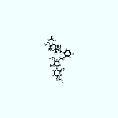 COC(=O)[C@H](CC(C)C)NP(=O)(O)OOc1ccccc1OC[C@H]1S[C@@H](n2ccc(N)nc2=O)[C@@H](F)[C@@H]1O